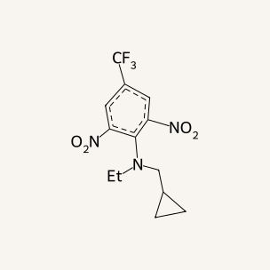 CCN(CC1CC1)c1c([N+](=O)[O-])cc(C(F)(F)F)cc1[N+](=O)[O-]